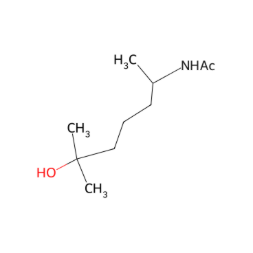 CC(=O)NC(C)CCCC(C)(C)O